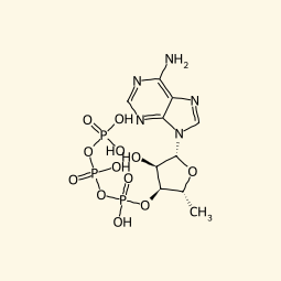 C[C@H]1O[C@@H](n2cnc3c(N)ncnc32)[C@H](O)[C@@H]1OP(=O)(O)OP(=O)(O)OP(=O)(O)O